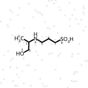 CC(CO)NCCCS(=O)(=O)O